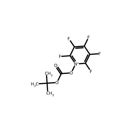 CC(C)(C)OC(=O)O[n+]1c(F)c(F)c(F)c(F)c1F